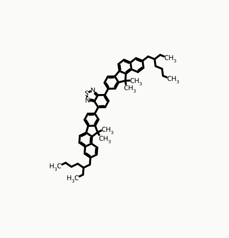 CCCCC(CC)Cc1ccc2c3c(ccc2c1)-c1ccc(-c2ccc(-c4ccc5c(c4)C(C)(C)c4c-5ccc5cc(CC(CC)CCCC)ccc45)c4nsnc24)cc1C3(C)C